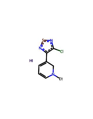 CCN1C=CC=C(c2nsnc2Cl)C1.I